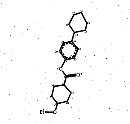 CCOC1CCC(C(=O)Oc2ccc(C3CCCCC3)cc2)CC1